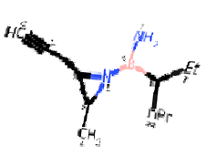 C#CC1C(C)N1B(N)C(CC)CCC